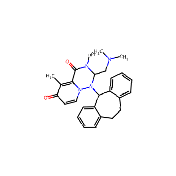 CCCN1C(=O)c2c(C)c(=O)ccn2N(C2c3ccccc3CCc3ccccc32)C1CN(C)C